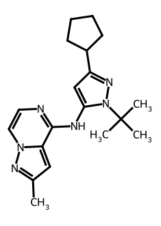 Cc1cc2c(Nc3cc(C4CCCC4)nn3C(C)(C)C)nccn2n1